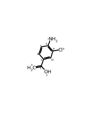 C=C(O)c1ccc(N)c(Cl)c1